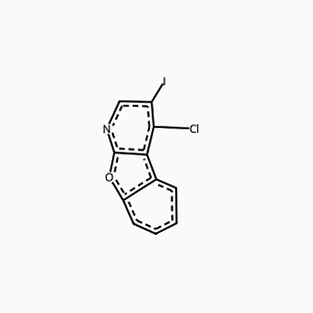 Clc1c(I)cnc2oc3ccccc3c12